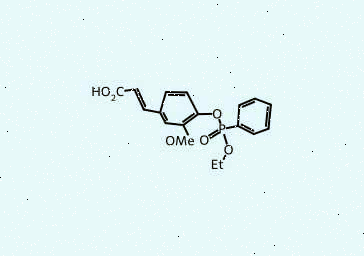 CCOP(=O)(Oc1ccc(C=CC(=O)O)cc1OC)c1ccccc1